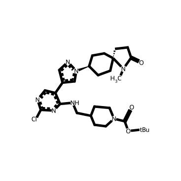 CN1C(=O)CC[C@]12CC[C@H](n1cc(-c3cnc(Cl)nc3NCC3CCN(C(=O)OC(C)(C)C)CC3)cn1)CC2